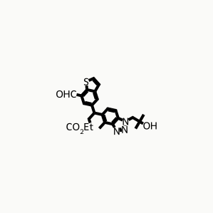 CCOC(=O)CC(c1cc(C=O)c2sccc2c1)c1ccc2c(nnn2CC(C)(C)O)c1C